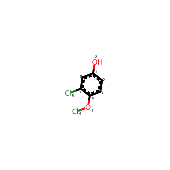 Oc1ccc(OCl)c(Cl)c1